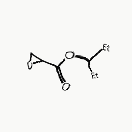 CCC(CC)OC(=O)C1CO1